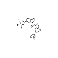 Cn1cc(-c2cnc3cnn([S+]([O-])c4cnc5ccc(-c6cc(F)c(F)c(F)c6)cn45)c3c2)cn1